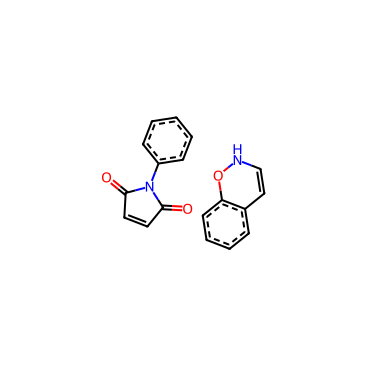 C1=Cc2ccccc2ON1.O=C1C=CC(=O)N1c1ccccc1